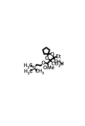 CCC1(C)OC2(CCCC2)OC1(C(=O)O)C(OC)OCC[Si](C)(C)C